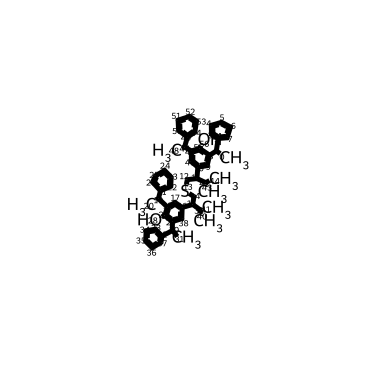 CC(c1ccccc1)c1cc(C(CSCC(c2cc(C(C)c3ccccc3)c(O)c(C(C)c3ccccc3)c2)C(C)C)C(C)C)cc(C(C)c2ccccc2)c1O